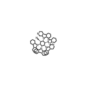 N#Cc1c(-n2c3ccccc3c3ccncc32)c(-c2nc3ccccc3o2)c(-n2c3ccccc3c3ccncc32)c(-n2c3ccccc3c3ccncc32)c1-n1c2ccccc2c2ccncc21